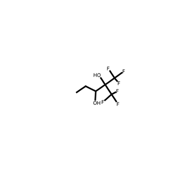 CCC(O)C(O)(C(F)(F)F)C(F)(F)F